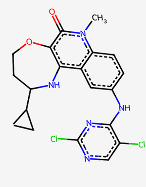 Cn1c(=O)c2c(c3cc(Nc4nc(Cl)ncc4Cl)ccc31)NC(C1CC1)CCO2